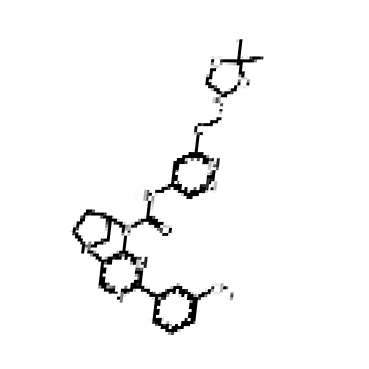 CC1(C)OC[C@@H](COc2cc(NC(=O)N3c4nc(-c5cccc(C(F)(F)F)c5)ncc4N4CCC3C4)cnn2)O1